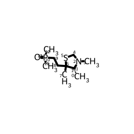 C[C@H]1N(C)CSC1(C)CCP(C)(C)=O